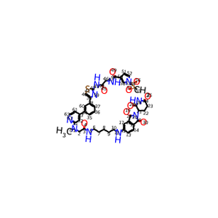 CN(CC(=O)NCCCCCNc1ccc2c(c1)C(=O)N(C1CCC(=O)NC1=O)C2=O)c1cc(-c2cccc(-c3csc(NC(=O)CNC(=O)c4ccn(S(C)(=O)=O)c4)n3)c2)ccn1